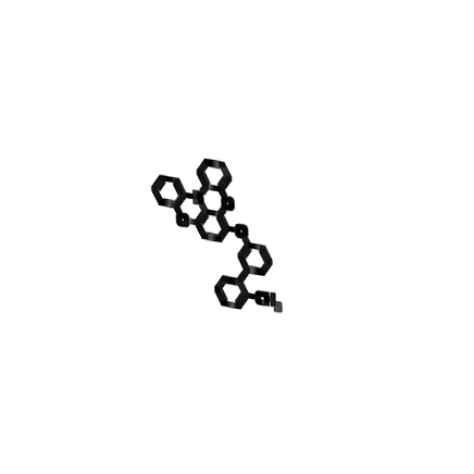 Cc1ccccc1-c1cccc(Oc2ccc3c4c2Oc2ccccc2B4c2ccccc2O3)c1